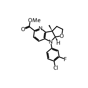 COC(=O)c1ccc2c(n1)[C@]1(C)CCO[C@@H]1N2c1ccc(Cl)c(F)c1